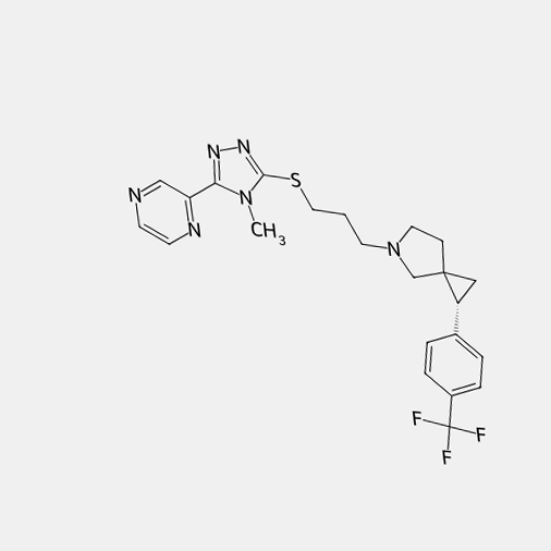 Cn1c(SCCCN2CCC3(C[C@@H]3c3ccc(C(F)(F)F)cc3)C2)nnc1-c1cnccn1